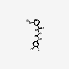 CCOc1cccc(C(=O)NNC(=S)Nc2ccc(Cl)c(Cl)c2)c1